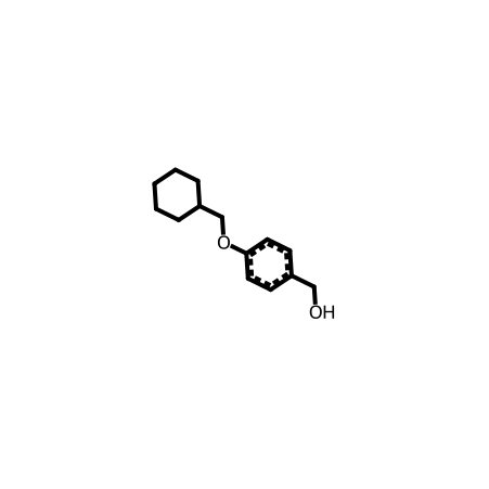 OCc1ccc(OCC2CCCCC2)cc1